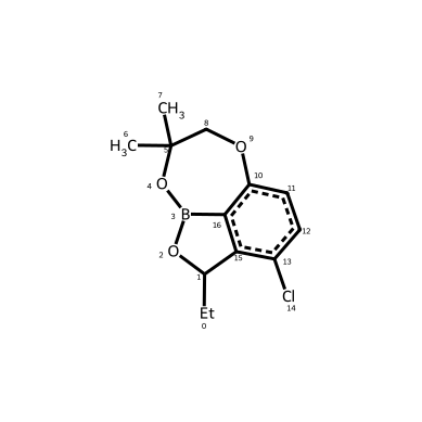 CCC1OB2OC(C)(C)COc3ccc(Cl)c1c32